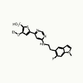 CCOc1cc(-c2cc(NCCc3cc4ccn(C)c4cc3F)ncn2)sc1C(=O)O